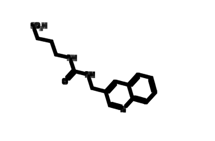 O=C(NCCCS(=O)(=O)O)NCc1cnc2ccccc2c1